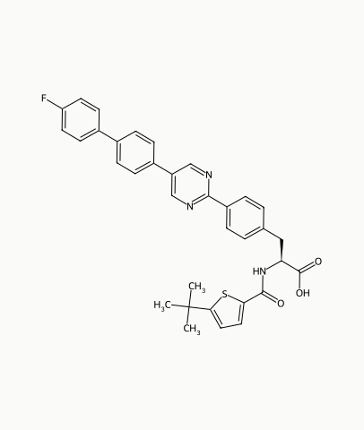 CC(C)(C)c1ccc(C(=O)N[C@@H](Cc2ccc(-c3ncc(-c4ccc(-c5ccc(F)cc5)cc4)cn3)cc2)C(=O)O)s1